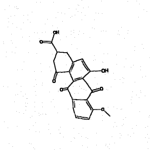 COc1cccc2c1C(=O)c1c(O)cc3c(c1C2=O)C(=O)CC(C(=O)O)C3